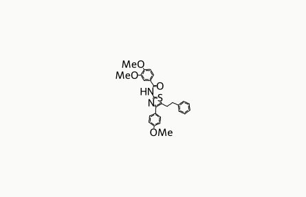 COc1ccc(-c2nc(NC(=O)c3ccc(OC)c(OC)c3)sc2CCc2ccccc2)cc1